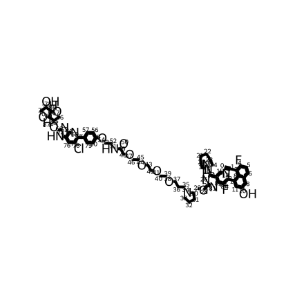 C#Cc1c(F)ccc2cc(O)cc(-c3ncc4c(N5CC6CCC(C5)N6)nc(OC[C@@H]5CCCN5CCCOCCOCCOCCOCC(=O)NCCOc5ccc(-c6nc7nc(O[C@@H]8CO[C@H]9[C@@H]8OC[C@H]9O)[nH]c7cc6Cl)cc5)nc4c3F)c12